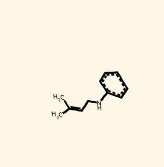 CC(C)=CCNc1ccccc1